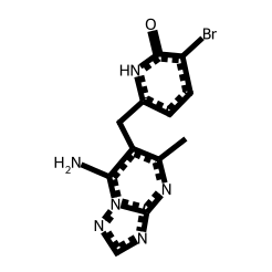 Cc1nc2ncnn2c(N)c1Cc1ccc(Br)c(=O)[nH]1